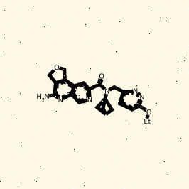 CCOc1ccc(CN(C(=O)c2cc3c4c(c(N)nc3cn2)COC4)C23CC(C2)C3)nn1